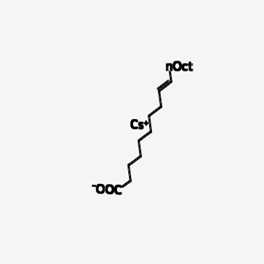 CCCCCCCCC=CCCCCCCCC(=O)[O-].[Cs+]